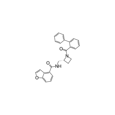 O=C(NC[C@H]1CCN1C(=O)c1ccccc1-c1ccccc1)c1cccc2occc12